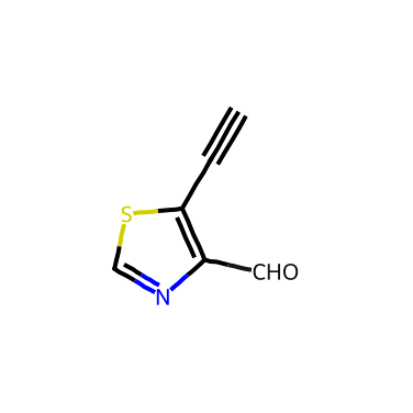 C#Cc1scnc1C=O